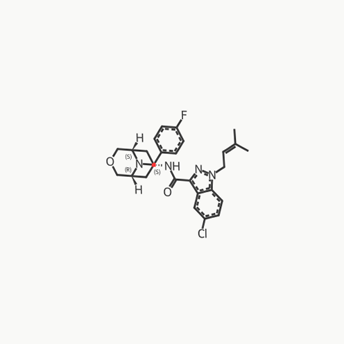 CC(C)=CCn1nc(C(=O)N[C@H]2C[C@H]3COC[C@@H](C2)N3Cc2ccc(F)cc2)c2cc(Cl)ccc21